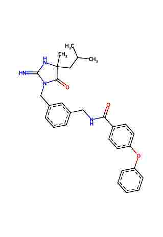 CC(C)CC1(C)NC(=N)N(Cc2cccc(CNC(=O)c3ccc(Oc4ccccc4)cc3)c2)C1=O